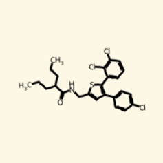 CCCC(CCC)C(=O)NCc1cc(-c2ccc(Cl)cc2)c(-c2cccc(Cl)c2Cl)s1